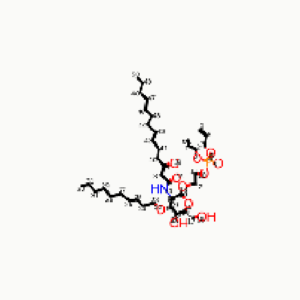 C=CCOP(=O)(OCC=C)OCCO[C@H]1O[C@H](CO)[C@@H](O)[C@H](OCCCCCCCCCC)[C@H]1NC(=O)CC(=O)CCCCCCCCCCC